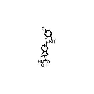 C[C@H](NC(=O)N1CCc2sc(C(=O)NO)cc2C1)c1ccc(Cl)cc1